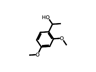 COc1ccc(C(C)O)c(OC)c1